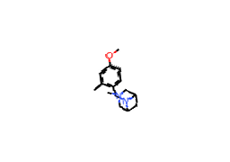 COc1ccc(CN2C3CC2CN(C)C3)c(C)c1